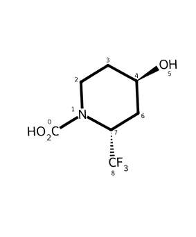 O=C(O)N1CC[C@@H](O)C[C@@H]1C(F)(F)F